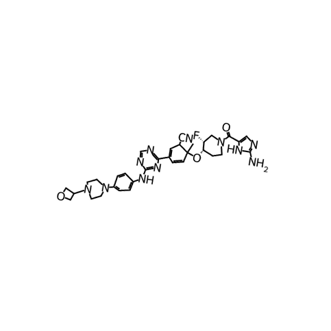 CC1(O[C@H]2CCN(C(=O)c3cnc(N)[nH]3)C[C@H]2F)C=CC(c2ncnc(Nc3ccc(N4CCN(C5COC5)CC4)cc3)n2)=CC1C#N